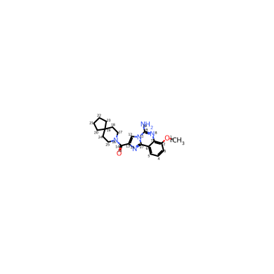 COc1cccc2c1nc(N)n1cc(C(=O)N3CCC4(CCCC4)CC3)nc21